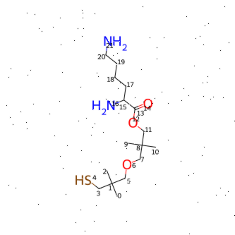 CC(C)(CS)COCC(C)(C)COC(=O)C(N)CCCCN